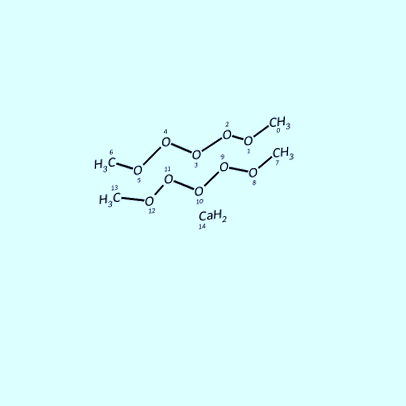 COOOOOC.COOOOOC.[CaH2]